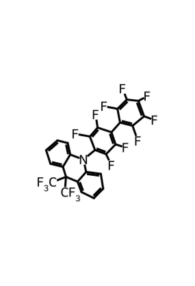 Fc1c(F)c(F)c(-c2c(F)c(F)c(N3c4ccccc4C(C(F)(F)F)(C(F)(F)F)c4ccccc43)c(F)c2F)c(F)c1F